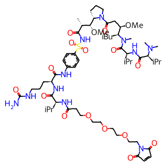 CCC(C)[C@@H]([C@@H](CC(=O)N1CCC[C@H]1[C@H](OC)[C@@H](C)C(=O)NS(=O)(=O)c1ccc(NC(=O)[C@H](CCCNC(N)=O)NC(=O)[C@@H](NC(=O)CCOCCOCCOCCN2C(=O)C=CC2=O)C(C)C)cc1)OC)N(C)C(=O)[C@@H](NC(=O)[C@H](C(C)C)N(C)C)C(C)C